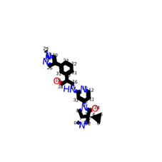 C/N=C\[C@@]1(C2CC2)CCN(c2ccnc(NCC(C=O)c3cccc(-c4cnn(C)c4)c3)c2)C1=O